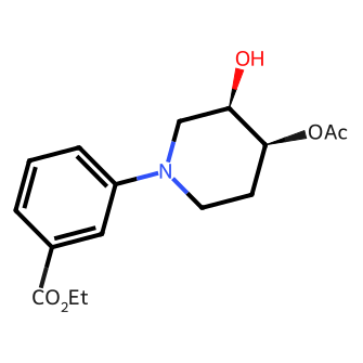 CCOC(=O)c1cccc(N2CC[C@H](OC(C)=O)[C@H](O)C2)c1